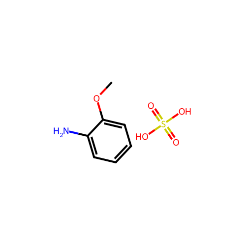 COc1ccccc1N.O=S(=O)(O)O